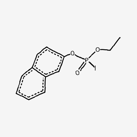 CCOP(=O)(I)Oc1ccc2ccccc2c1